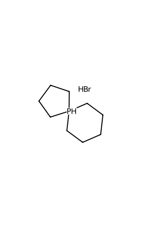 Br.C1CC[PH]2(CC1)CCCC2